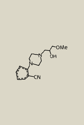 COCC(O)CN1CCN(c2ccccc2C#N)CC1